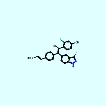 CCC(=C(c1ccc(C=CC(=O)O)cc1)c1ccc2[nH]nc(F)c2c1)c1ccc(C#N)cc1F